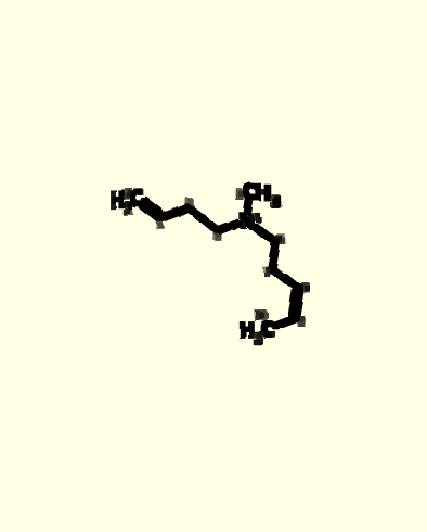 C=CCCN(C)CC/C=C\C